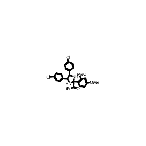 COc1ccc(C2(C(=O)C(C)C)NC(c3ccc(Cl)cc3)C(c3ccc(Cl)cc3)N2)c(OC)c1